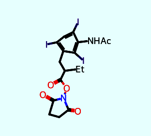 CCC(Cc1c(I)cc(I)c(NC(C)=O)c1I)C(=O)ON1C(=O)CCC1=O